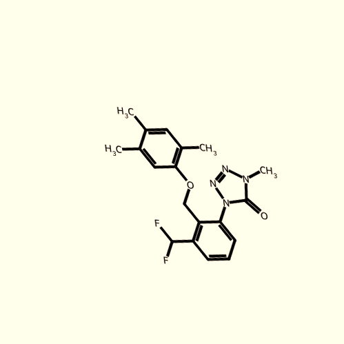 Cc1cc(C)c(OCc2c(C(F)F)cccc2-n2nnn(C)c2=O)cc1C